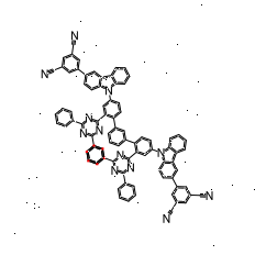 N#Cc1cc(C#N)cc(-c2ccc3c(c2)c2ccccc2n3-c2ccc(-c3cccc(-c4ccc(-n5c6ccccc6c6cc(-c7cc(C#N)cc(C#N)c7)ccc65)cc4-c4nc(-c5ccccc5)nc(-c5ccccc5)n4)c3)c(-c3nc(-c4ccccc4)nc(-c4ccccc4)n3)c2)c1